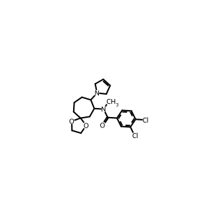 CN(C(=O)c1ccc(Cl)c(Cl)c1)C1CC2(CCCC1N1CC=CC1)OCCO2